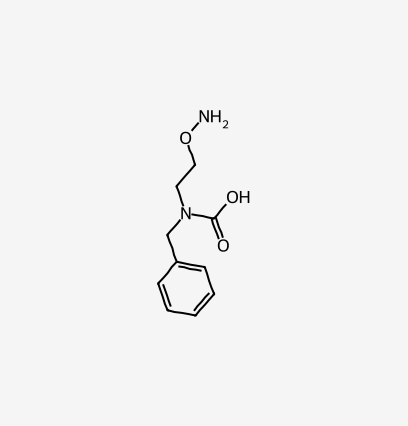 NOCCN(Cc1ccccc1)C(=O)O